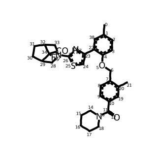 Cc1ccc(OCc2ccc(C(=O)N3CCCCC3)cc2C)c(-c2csc(N3CC4CCC(C3)C4(F)C(=O)O)n2)c1